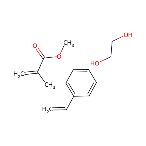 C=C(C)C(=O)OC.C=Cc1ccccc1.OCCO